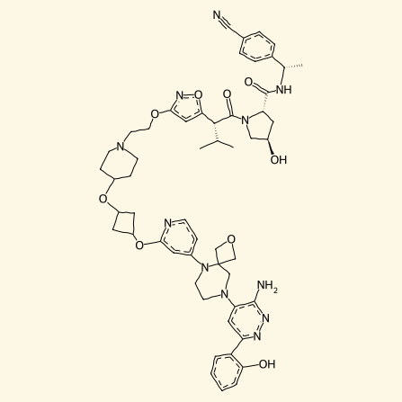 CC(C)[C@@H](C(=O)N1C[C@H](O)C[C@H]1C(=O)N[C@@H](C)c1ccc(C#N)cc1)c1cc(OCCN2CCC(OC3CC(Oc4cc(N5CCN(c6cc(-c7ccccc7O)nnc6N)CC56COC6)ccn4)C3)CC2)no1